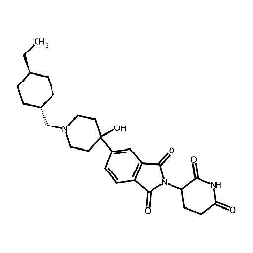 CC[C@H]1CC[C@H](CN2CCC(O)(c3ccc4c(c3)C(=O)N(C3CCC(=O)NC3=O)C4=O)CC2)CC1